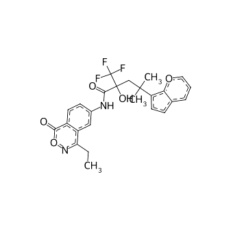 CCc1noc(=O)c2ccc(NC(=O)C(O)(CC(C)(C)c3ccc4cccoc3-4)C(F)(F)F)cc12